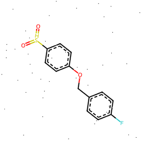 O=[SH](=O)c1ccc(OCc2ccc(F)cc2)cc1